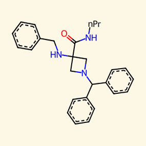 CCCNC(=O)C1(NCc2ccccc2)CN(C(c2ccccc2)c2ccccc2)C1